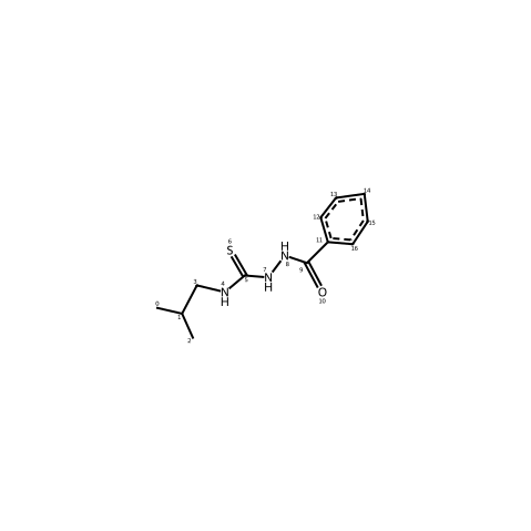 CC(C)CNC(=S)NNC(=O)c1ccccc1